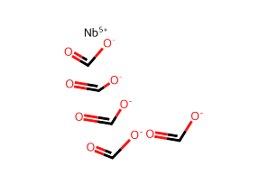 O=C[O-].O=C[O-].O=C[O-].O=C[O-].O=C[O-].[Nb+5]